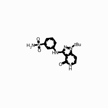 CC(C)(C)n1nc(Nc2cccc(S(N)(=O)=O)c2)c2c(=O)[nH]ccc21